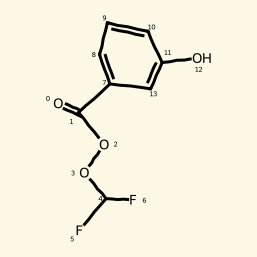 O=C(OOC(F)F)c1cccc(O)c1